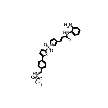 CS(=O)(=O)NCc1ccc(-c2ccc(S(=O)(=O)n3ccc(/C=C/C(=O)Nc4ccccc4N)c3)s2)cc1